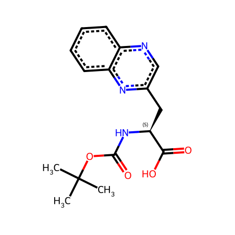 CC(C)(C)OC(=O)N[C@@H](Cc1cnc2ccccc2n1)C(=O)O